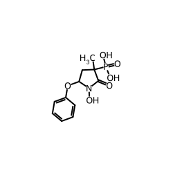 CC1(P(=O)(O)O)CC(Oc2ccccc2)N(O)C1=O